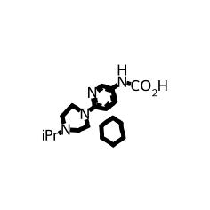 C1CCCCC1.CC(C)N1CCN(c2ccc(NC(=O)O)cn2)CC1